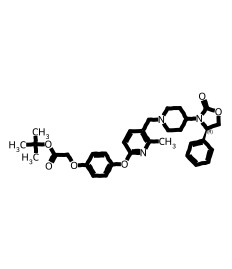 Cc1nc(Oc2ccc(OCC(=O)OC(C)(C)C)cc2)ccc1CN1CCC(N2C(=O)OC[C@H]2c2ccccc2)CC1